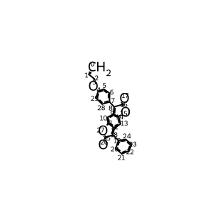 C=CCOc1ccc(C2=c3cc4c(cc3OC2=O)=C(c2ccccc2)C(=O)O4)cc1